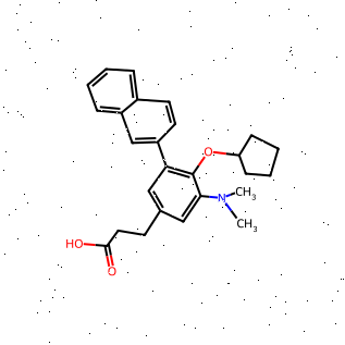 CN(C)c1cc(CCC(=O)O)cc(-c2ccc3ccccc3c2)c1OC1CCCC1